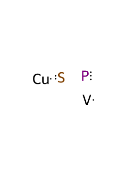 [Cu].[P].[S].[V]